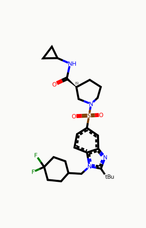 CC(C)(C)c1nc2cc(S(=O)(=O)N3CCC[C@H](C(=O)NC4CC4)C3)ccc2n1CC1CCC(F)(F)CC1